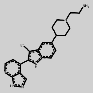 CCc1c(-c2ccnc3[nH]ncc23)[nH]c2ccc(C3CCN(CCN)CC3)cc12